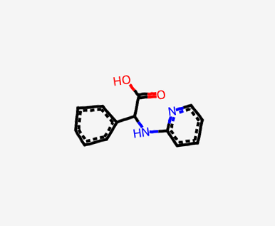 O=C(O)C(Nc1ccccn1)c1ccccc1